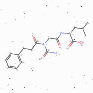 CC(C)C[C@H](NC(=O)CN(C(N)=O)C(=O)CCc1ccccc1)C(=O)O